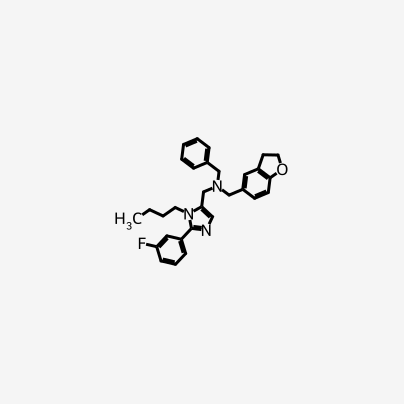 CCCCn1c(CN(Cc2ccccc2)Cc2ccc3c(c2)CCO3)cnc1-c1cccc(F)c1